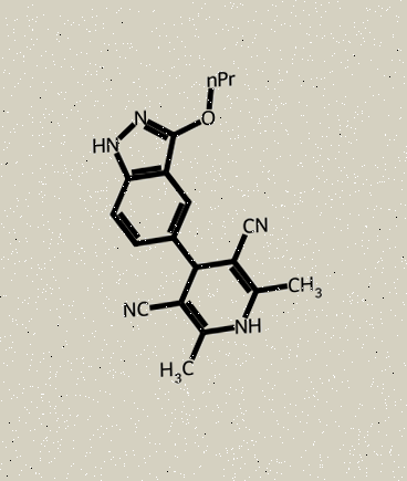 CCCOc1n[nH]c2ccc(C3C(C#N)=C(C)NC(C)=C3C#N)cc12